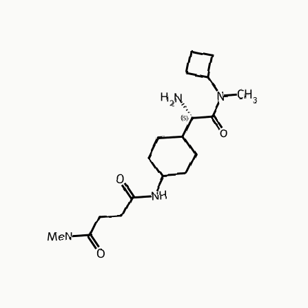 CNC(=O)CCC(=O)NC1CCC([C@H](N)C(=O)N(C)C2CCC2)CC1